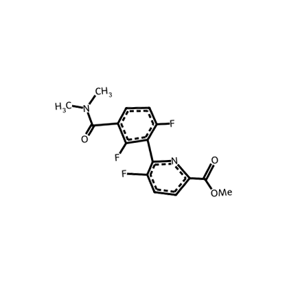 COC(=O)c1ccc(F)c(-c2c(F)ccc(C(=O)N(C)C)c2F)n1